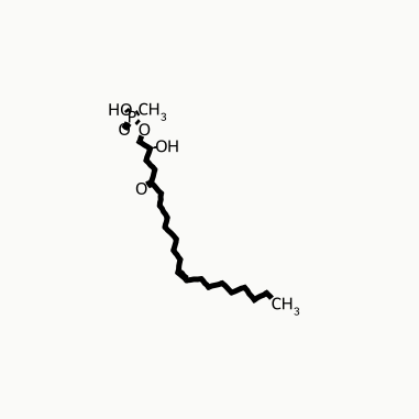 CCCCCCCC/C=C\CCCCCCCC(=O)CC[C@@H](O)COP(C)(=O)O